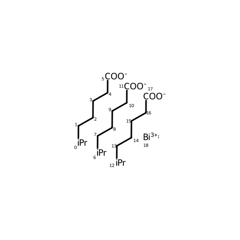 CC(C)CCCCC(=O)[O-].CC(C)CCCCC(=O)[O-].CC(C)CCCCC(=O)[O-].[Bi+3]